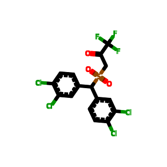 O=C(CS(=O)(=O)C(c1ccc(Cl)c(Cl)c1)c1ccc(Cl)c(Cl)c1)C(F)(F)F